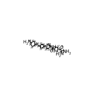 CC(N)(CN)C(=O)N1CCN(C(=O)NC2=NCN(c3ccc(CCN4CCCC(N)CC4)cc3)C=C2)CC1